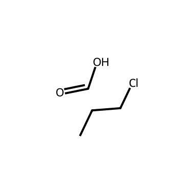 CCCCl.O=CO